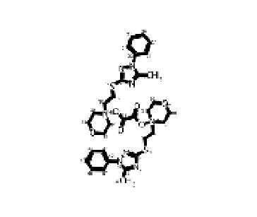 Cc1nc(SCC[N+]2(OC(=O)C(=O)O[N+]3(CCSc4nc(C)n(-c5ccccc5)n4)CCOCC3)CCOCC2)nn1-c1ccccc1